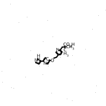 CC(C)(Cc1ccc(CCOc2ccc(-c3ccn[nH]3)nc2)cn1)C(=O)O